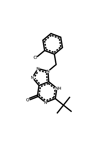 CC(C)(C)c1nc(=O)c2nnn(Cc3ccccc3Cl)c2[nH]1